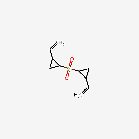 C=CC1CC1S(=O)(=O)C1CC1C=C